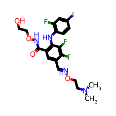 CN(C)CCO/N=C/c1cc(C(=O)NOCCO)c(Nc2ccc(I)cc2F)c(F)c1F